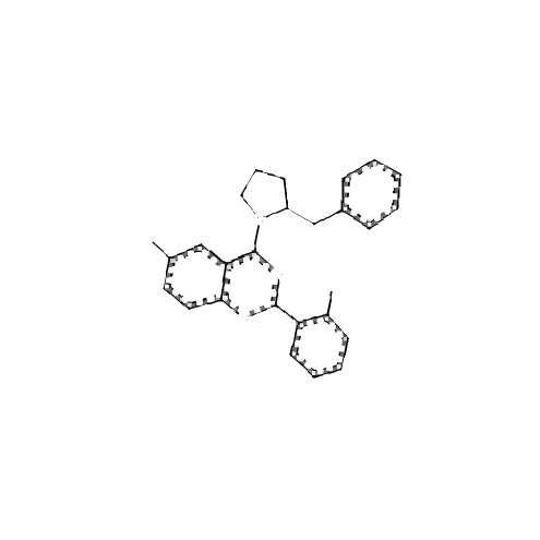 Oc1ccccc1-c1nc(N2CCCC2Cc2ccccc2)c2cc(F)ccc2n1